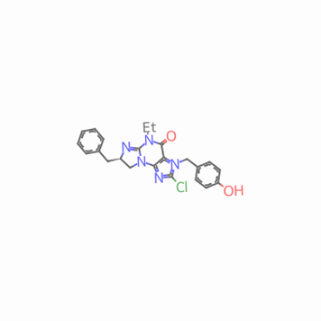 CCN1C(=O)c2c(nc(Cl)n2Cc2ccc(O)cc2)N2C[C@@H](Cc3ccccc3)N=C12